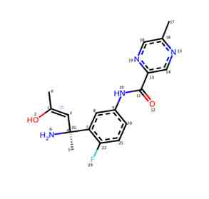 C/C(O)=C/[C@](C)(N)c1cc(NC(=O)c2cnc(C)cn2)ccc1F